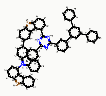 c1ccc(-c2cc(-c3ccccc3)cc(-c3cccc(-c4nc(-c5ccccc5)nc(-c5cccc6sc7ccc(-c8ccc9c(c8)c8ccccc8n9-c8cccc9sc%10ccccc%10c89)cc7c56)n4)c3)c2)cc1